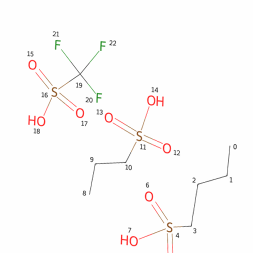 CCCCS(=O)(=O)O.CCCS(=O)(=O)O.O=S(=O)(O)C(F)(F)F